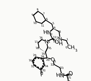 CCNC[C@H](CC1CCCCC1)NC(=O)N1CCC[C@@H]([C@@H](OCCNC(=O)O)c2cccc(F)c2)C1